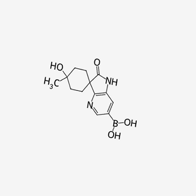 CC1(O)CCC2(CC1)C(=O)Nc1cc(B(O)O)cnc12